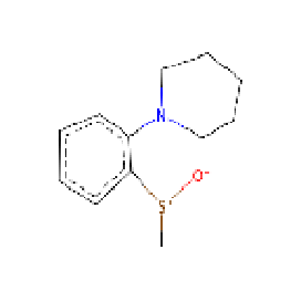 C[S+]([O-])c1ccccc1N1CCCCC1